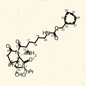 CCCN(C(=O)[C@@]1(C(C)C)C(=O)CCC(=O)N1C(=O)[C@@H](N)CCCCNC(=O)OCc1ccccc1)[C@H](C=O)C(C)C